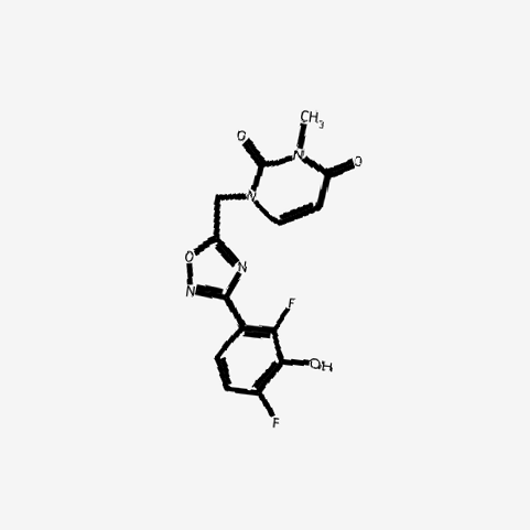 Cn1c(=O)ccn(Cc2nc(-c3ccc(F)c(O)c3F)no2)c1=O